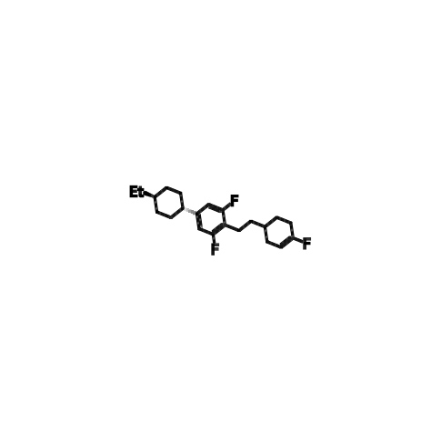 CC[C@H]1CC[C@H](c2cc(F)c(CCC3CC=C(F)CC3)c(F)c2)CC1